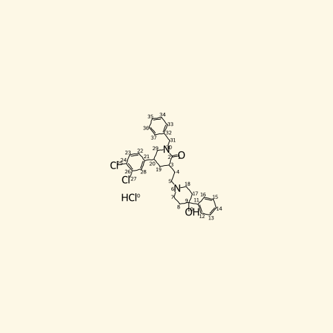 Cl.O=C1C(CCN2CCC(O)(c3ccccc3)CC2)CC(c2ccc(Cl)c(Cl)c2)CN1Cc1ccccc1